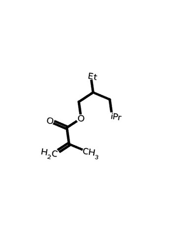 C=C(C)C(=O)OCC(CC)CC(C)C